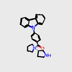 O=C(c1ccc(-n2c3ccccc3c3ccccc32)cc1)[N+]1([C@H]2CCNC2)CCCC1